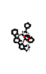 c1ccc(-c2nc(-c3ccccc3)nc(-n3c4ccccc4c4ccc5c6ccc7cncnc7c6n(-c6ccccc6)c5c43)n2)cc1